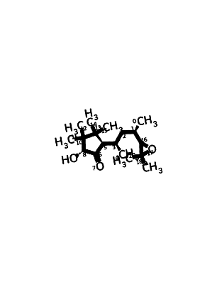 C[C@H](C[C@@H](C)[C@H]1C(=O)[C@H](O)C(C)(C)C1(C)C)C1OC1(C)C